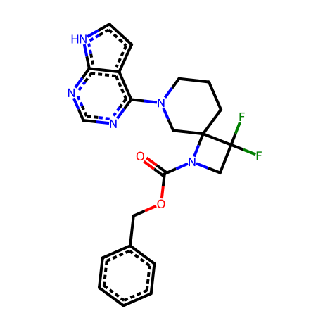 O=C(OCc1ccccc1)N1CC(F)(F)C12CCCN(c1ncnc3[nH]ccc13)C2